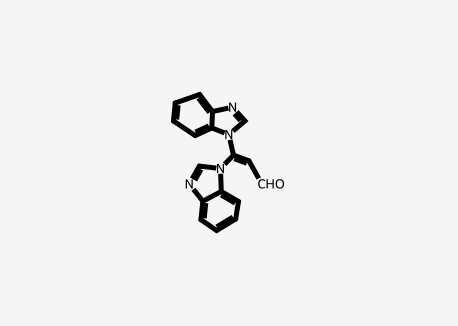 O=CC=C(n1cnc2ccccc21)n1cnc2ccccc21